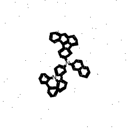 c1ccc(-c2ccccc2-n2c3ccccc3c3cc(N(c4ccc5c(c4)-c4cccc6cc7ccccc7c-5c46)c4ccc5ccccc5c4)ccc32)cc1